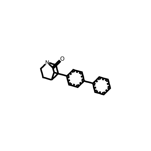 O=C1C(c2ccc(-c3ccccc3)cc2)C2CCN1CC2